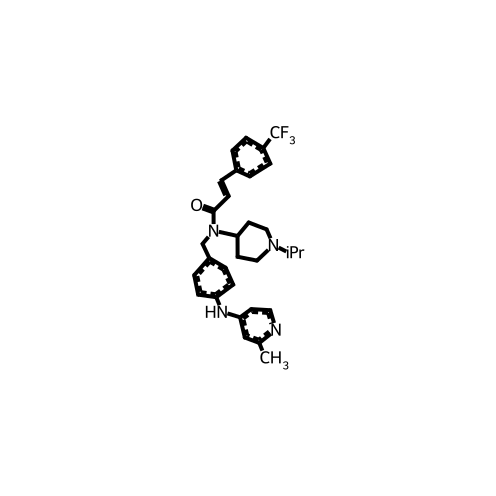 Cc1cc(Nc2ccc(CN(C(=O)C=Cc3ccc(C(F)(F)F)cc3)C3CCN(C(C)C)CC3)cc2)ccn1